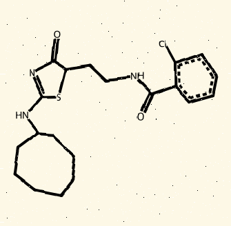 O=C(NCCC1SC(NC2CCCCCCC2)=NC1=O)c1ccccc1Cl